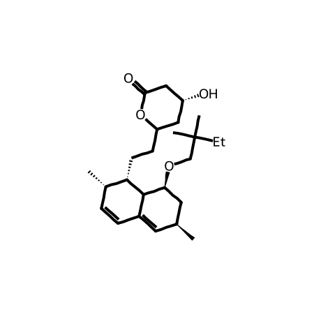 CCC(C)(C)CO[C@H]1C[C@@H](C)C=C2C=C[C@H](C)[C@H](CCC3C[C@@H](O)CC(=O)O3)C21